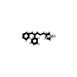 c1ccc(CC(CCCc2c[nH]cn2)c2ccccc2)cc1